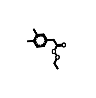 CCOOC(=O)Cc1ccc(C)c(C)c1